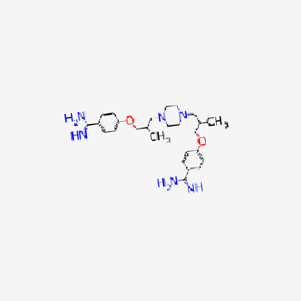 CC(COc1ccc(C(=N)N)cc1)CN1CCN(CC(C)COc2ccc(C(=N)N)cc2)CC1